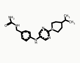 CC(C)C1CCN(c2ncc(Nc3ccc(CNC(N)=O)cc3)cn2)CC1